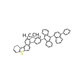 CC1(C)c2cc(-c3c4ccccc4c(-c4ccc(-c5ccccc5)c5ccccc45)c4ccccc34)ccc2-c2c1ccc1c2ccc2sc3c(c21)CCC=C3